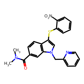 CN(C)C(=O)c1ccc2c(Sc3ccccc3[N+](=O)[O-])cn(Cc3ccccn3)c2c1